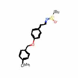 COc1ccc(COc2ccc(CC=N[S@@+]([O-])C(C)(C)C)cc2)cc1